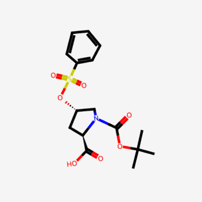 CC(C)(C)OC(=O)N1C[C@@H](OS(=O)(=O)c2ccccc2)C[C@@H]1C(=O)O